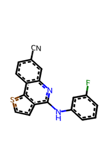 N#Cc1ccc2c(c1)nc(Nc1cccc(F)c1)c1ccsc12